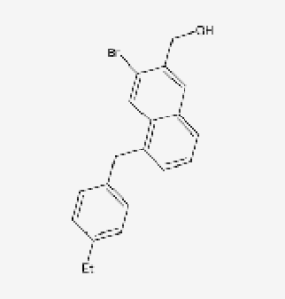 CCc1ccc(Cc2cccc3cc(CO)c(Br)cc23)cc1